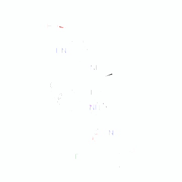 COC(=O)c1coc(-c2nc3oc2[C@@]24c5cc(F)ccc5N[C@@H]2Oc2ccc(cc24)C[C@H](NC(=O)[C@@H](O)C(C)C)C(=O)N[C@H]3C(C)C)n1